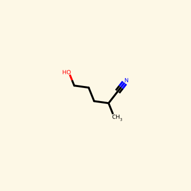 C[C](C#N)CCCO